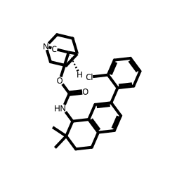 CC1(C)CCc2ccc(-c3ccccc3Cl)cc2C1NC(=O)O[C@H]1CN2CCC1CC2